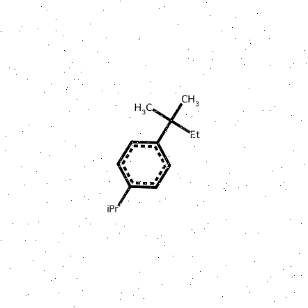 CCC(C)(C)c1ccc(C(C)C)cc1